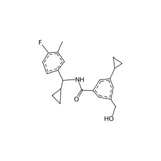 Cc1cc(C(NC(=O)c2cc(CO)cc(C3CC3)c2)C2CC2)ccc1F